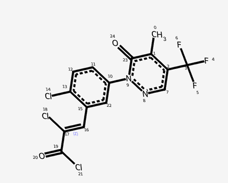 Cc1c(C(F)(F)F)cnn(-c2ccc(Cl)c(/C=C(\Cl)C(=O)Cl)c2)c1=O